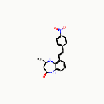 C[C@@H]1CC(=O)Nc2cccc(/C=C/c3ccc([N+](=O)[O-])cc3)c2N1